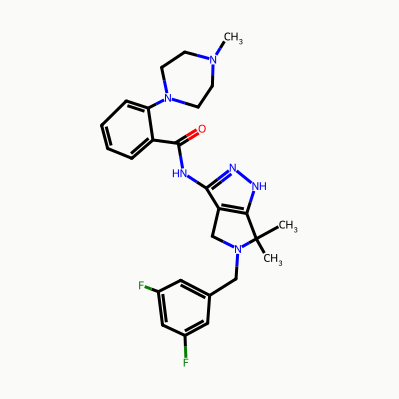 CN1CCN(c2ccccc2C(=O)Nc2n[nH]c3c2CN(Cc2cc(F)cc(F)c2)C3(C)C)CC1